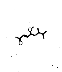 COC(/C=C/C(C)=O)CC(C)C(C)C